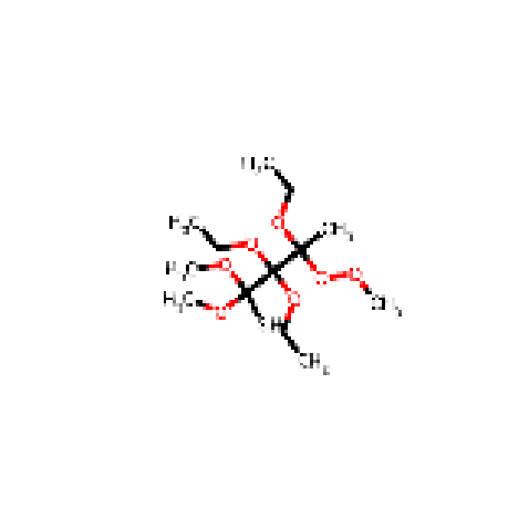 CCOC(C)(OOC)C(OCC)(OCC)C([SiH3])(OC)OC